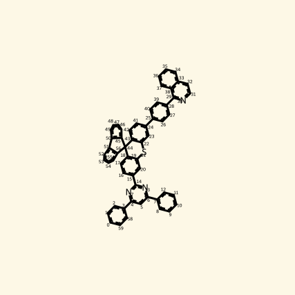 c1ccc(-c2cc(-c3ccccc3)nc(-c3ccc4c(c3)Sc3cc(-c5ccc(-c6nccc7ccccc67)cc5)ccc3C43c4ccccc4-c4ccccc43)n2)cc1